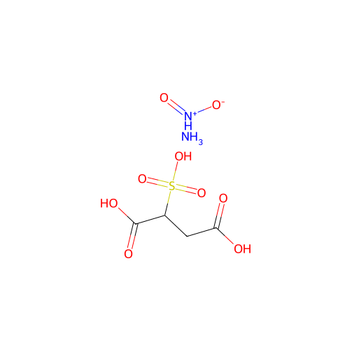 N.O=C(O)CC(C(=O)O)S(=O)(=O)O.O=[NH+][O-]